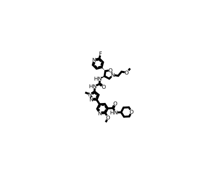 COCCN1C[C@@H](NC(=O)Nc2cc(-c3cnc(OC)c(C(=O)NC4CCOCC4)c3)nn2C)[C@H](c2ccnc(F)c2)O1